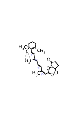 CC1=C(/C=C/C(C)=C/C=C/C(C)=C\C(=O)ON2C(=O)CCC2=O)C(C)(C)CCC1